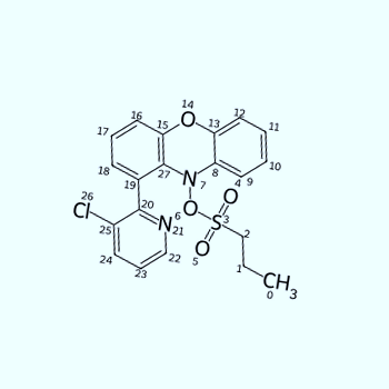 CCCS(=O)(=O)ON1c2ccccc2Oc2cccc(-c3ncccc3Cl)c21